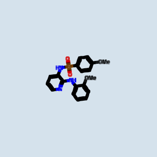 COc1ccc(S(=O)(=O)Nc2cccnc2Nc2ccccc2OC)cc1